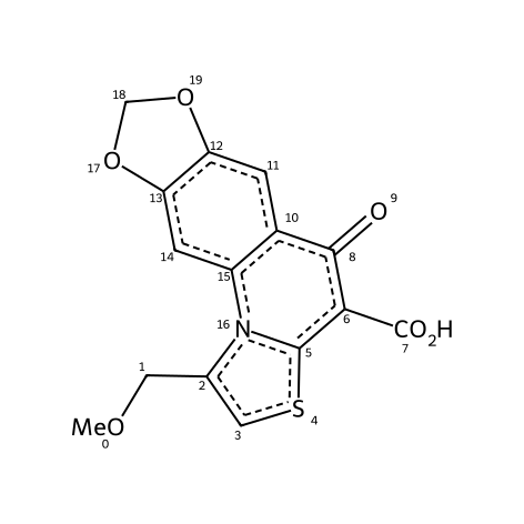 COCc1csc2c(C(=O)O)c(=O)c3cc4c(cc3n12)OCO4